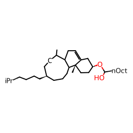 CCCCCCCCC(O)O[C@H]1CC[C@@]2(C)C(=CCC3C(C)CC[C@H](CCCCC(C)C)CCCC32)C1